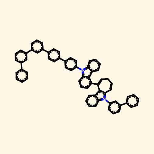 C1=Cc2c(c3ccccc3n2-c2cccc(-c3ccccc3)c2)C(c2cccc3c2c2ccccc2n3-c2ccc(-c3ccc(-c4cccc(-c5cccc(-c6ccccc6)c5)c4)cc3)cc2)=CC1